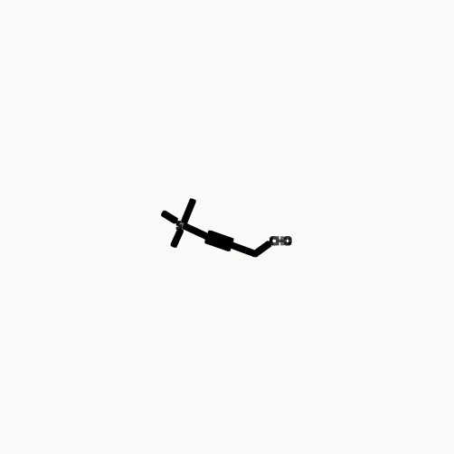 C[Si](C)(C)C#CCC=O